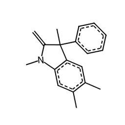 C=C1N(C)c2cc(C)c(C)cc2C1(C)c1ccccc1